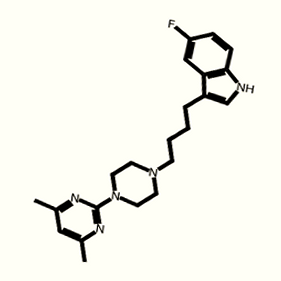 Cc1cc(C)nc(N2CCN(CCCCc3c[nH]c4ccc(F)cc34)CC2)n1